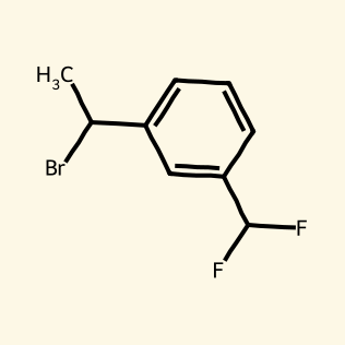 CC(Br)c1cccc(C(F)F)c1